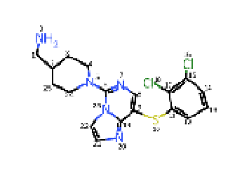 NCC1CCN(c2ncc(Sc3cccc(Cl)c3Cl)c3nccn23)CC1